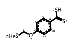 CCCCCCCOc1ccc(C(=S)S)cc1